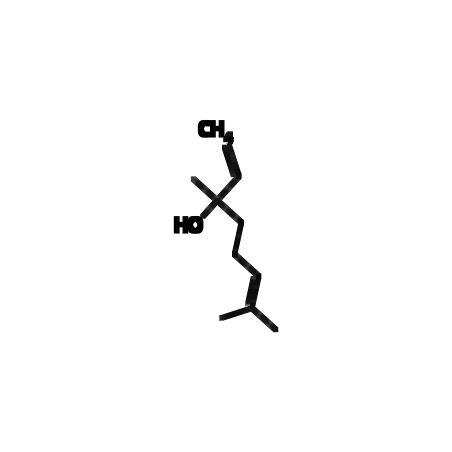 C.C=CC(C)(O)CCC=C(C)C